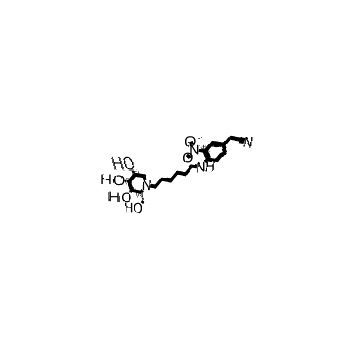 N#CCc1ccc(NCCCCCCN2C[C@H](O)[C@@H](O)[C@H](O)[C@H]2CO)c([N+](=O)[O-])c1